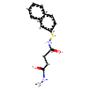 CNC(=O)CCC(=O)NSc1ccc2ccccc2c1